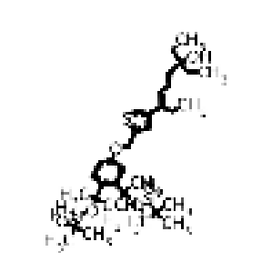 CCC(=CC=CC(O)(CC)CC)c1csc(COc2ccc(C(C)(C)O[SiH2]C(C)(C)C)c(C(C)(C)O[SiH2]C(C)(C)C)c2)c1